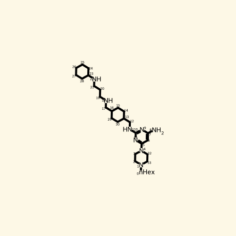 CCCCCCN1CCN(c2cc(N)nc(NCC3CCC(CNCCCNC4CCCCC4)CC3)n2)CC1